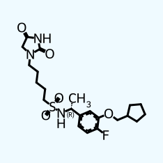 C[C@@H](NS(=O)(=O)CCCCCN1CC(=O)NC1=O)c1ccc(F)c(OCC2CCCC2)c1